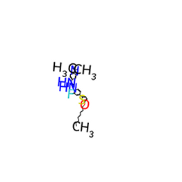 CCCCCCCCOc1ccc(-c2ccc(NCNc3ccc(N(C)C)cc3)c(F)c2)s1